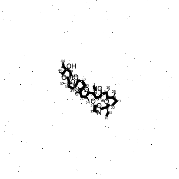 CC[C@@H](C(=O)[C@@H](C)[C@@H](O)[C@H](C)[C@@H]1O[C@@H]([C@@H](CC)c2ncco2)CC[C@@H]1C)[C@H]1O[C@]2(C=C[C@@H](O)[C@]3(CC[C@@](C)([C@H]4CC[C@](O)(CC)[C@H](C)O4)O3)O2)[C@H](C)C[C@@H]1C